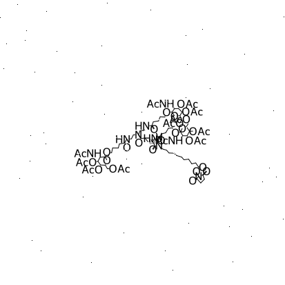 CC(=O)NC1C(OCCCCC(=O)NCCN(CCNC(=O)CCCCOC2OC(COC(C)=O)C(OC(C)=O)C(OC(C)=O)C2NC(C)=O)C(=O)CC[C@H](NC(=O)CCCCOC2OC(COC(C)=O)C(OC(C)=O)C(OC(C)=O)C2NC(C)=O)C(=O)NCCCCCCCCCCC(=O)ON2C(=O)CCC2=O)OC(COC(C)=O)C(OC(C)=O)C1OC(C)=O